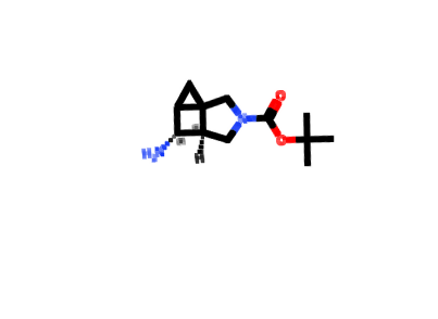 CC(C)(C)OC(=O)N1C[C@H]2[C@H](N)C3CC32C1